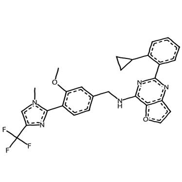 COc1cc(CNc2nc(-c3ccccc3C3CC3)nc3ccoc23)ccc1-c1nc(C(F)(F)F)cn1C